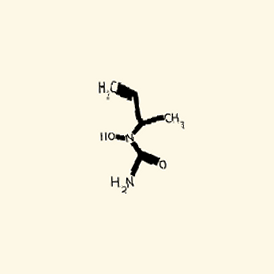 C=CC(C)N(O)C(N)=O